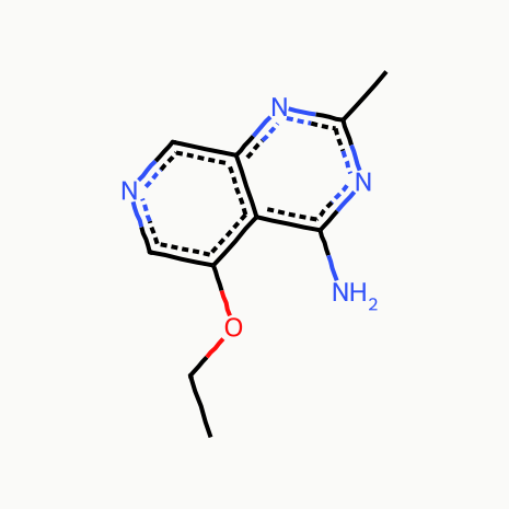 CCOc1cncc2nc(C)nc(N)c12